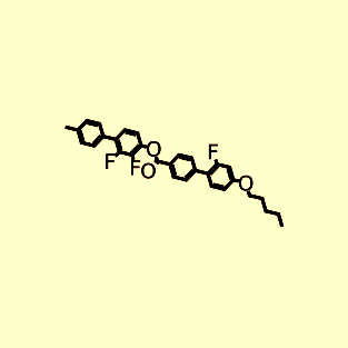 CCCCCOc1ccc(-c2ccc(C(=O)Oc3ccc(-c4ccc(C)cc4)c(F)c3F)cc2)c(F)c1